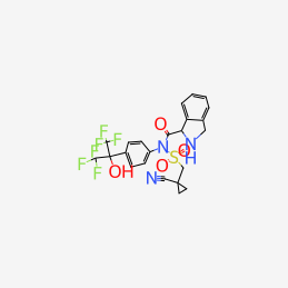 N#CC1(CS(=O)(=O)N(C(=O)C2NCc3ccccc32)c2ccc(C(O)(C(F)(F)F)C(F)(F)F)cc2)CC1